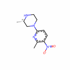 Cc1nc(N2CCN[C@@H](C)C2)ccc1[N+](=O)[O-]